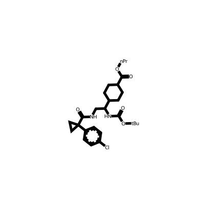 CCCOC(=O)C1CCC(C(CNC(=O)C2(c3ccc(Cl)cc3)CC2)NC(=O)OC(C)(C)C)CC1